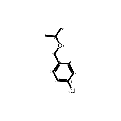 CC(C)OCc1ccc(Cl)cc1